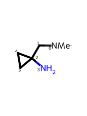 C[N]CC1(N)CC1